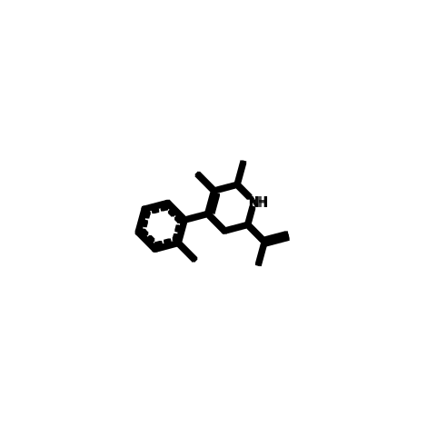 C=C(C)C1CC(c2ccccc2C)=C(C)C(C)N1